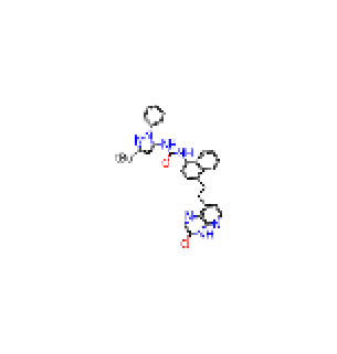 CC(C)(C)c1cc(NC(=O)Nc2ccc(CCc3ccnc4[nH]c(=O)cnc34)c3ccccc23)n(-c2ccccc2)n1